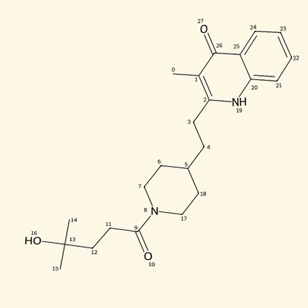 Cc1c(CCC2CCN(C(=O)CCC(C)(C)O)CC2)[nH]c2ccccc2c1=O